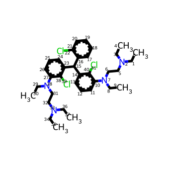 CCN(CC)CCN(CC)c1cccc(C(c2ccccc2Cl)c2cccc(N(CC)CCN(CC)CC)c2Cl)c1Cl